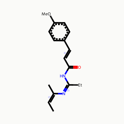 C/C=C(C)\N=C(\CC)NC(=O)/C=C/c1ccc(OC)cc1